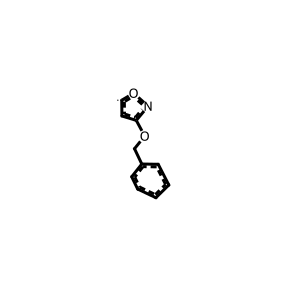 [c]1cc(OCc2ccccc2)no1